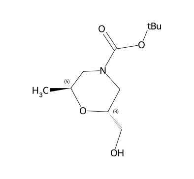 C[C@H]1CN(C(=O)OC(C)(C)C)C[C@H](CO)O1